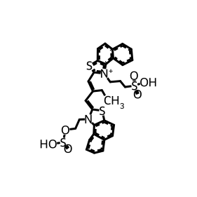 CCC(=Cc1sc2ccc3ccccc3c2[n+]1CCCS(=O)(=O)O)C=C1Sc2ccc3ccccc3c2N1CCOS(=O)O